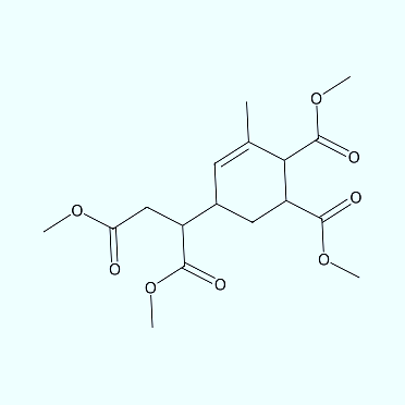 COC(=O)CC(C(=O)OC)C1C=C(C)C(C(=O)OC)C(C(=O)OC)C1